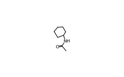 CC(=O)NC1CC[CH]CC1